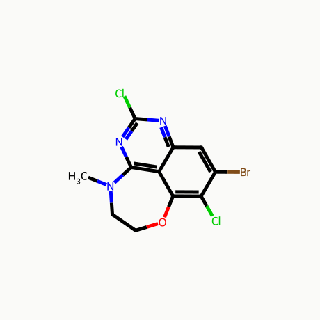 CN1CCOc2c(Cl)c(Br)cc3nc(Cl)nc1c23